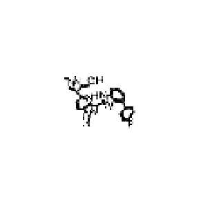 Cn1cc(-c2ccc3[nH]nc(-c4nc5c(-c6ccc(F)cc6)cccc5[nH]4)c3n2)c(CO)n1